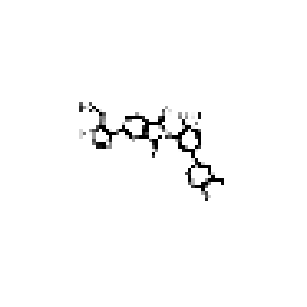 O=C(O)c1ccc(-c2ccc(F)c(F)c2)cc1N1C(=O)c2ccc(-c3nn[nH]c3CO)cc2C1=O